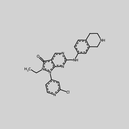 CCn1c(=O)c2cnc(Nc3ccc4c(c3)CNCC4)nc2n1-c1ccnc(Cl)c1